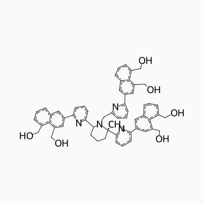 C[C@@]1(c2cccc(-c3cc(CO)c4c(CO)cccc4c3)n2)CCCC(c2cccc(-c3cc(CO)c4c(CO)cccc4c3)n2)N1Cc1cccc(-c2cc(CO)c3c(CO)cccc3c2)n1